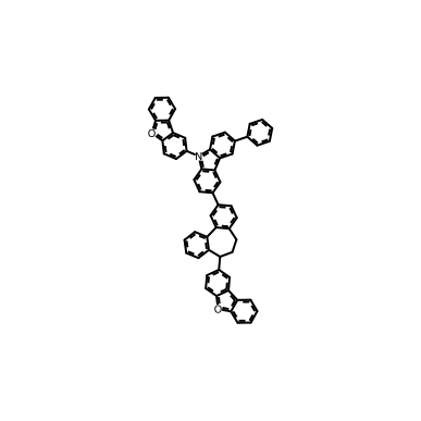 c1ccc(-c2ccc3c(c2)c2cc(-c4ccc5c(c4)-c4ccccc4C(c4ccc6oc7ccccc7c6c4)CC5)ccc2n3-c2ccc3oc4ccccc4c3c2)cc1